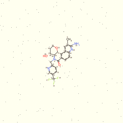 Cc1cc2cc(C(=O)N(Cc3ccc(C(F)(F)F)cn3)[C@@H]3COCC[C@H]3O)ccc2nc1N